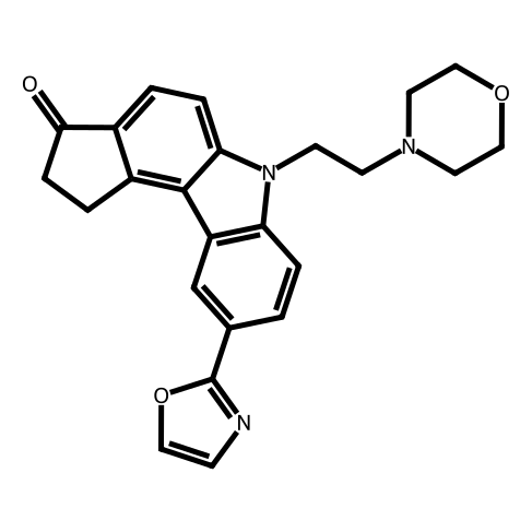 O=C1CCc2c1ccc1c2c2cc(-c3ncco3)ccc2n1CCN1CCOCC1